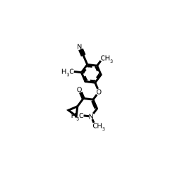 Cc1cc(O/C(=C/N(C)C)C(=O)C2CC2)cc(C)c1C#N